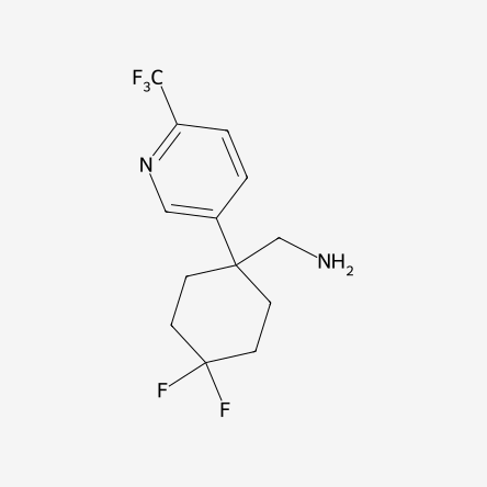 NCC1(c2ccc(C(F)(F)F)nc2)CCC(F)(F)CC1